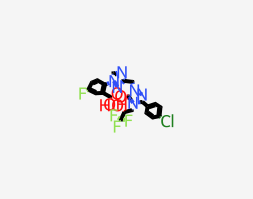 O=C(O)c1cc(F)ccc1-n1cnc(Cn2nc(-c3ccc(Cl)cc3)n(CC(O)C(F)(F)F)c2=O)n1